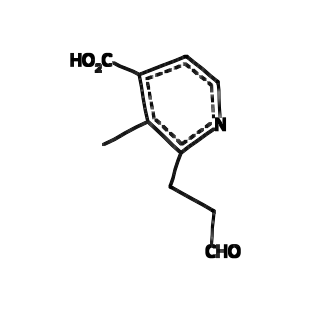 Cc1c(C(=O)O)ccnc1CCC=O